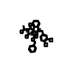 CC(=O)N1C(=O)N(C(=O)OCc2ccccc2)C2(C1=O)C(=O)N(Cc1ccc(Cl)c(Cl)c1)c1ccccc12